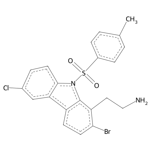 Cc1ccc(S(=O)(=O)n2c3ccc(Cl)cc3c3ccc(Br)c(CCN)c32)cc1